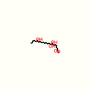 CC/C=C\CC(O)/C=C/CC/C=C/C=C/C(O)C(O)C/C=C\CCC(=O)OC